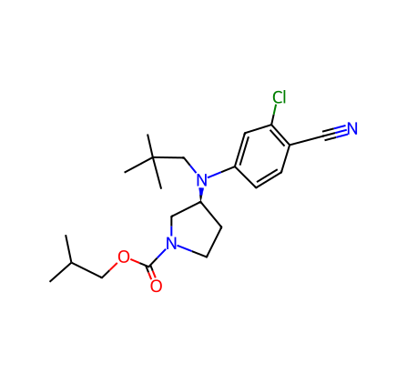 CC(C)COC(=O)N1CC[C@H](N(CC(C)(C)C)c2ccc(C#N)c(Cl)c2)C1